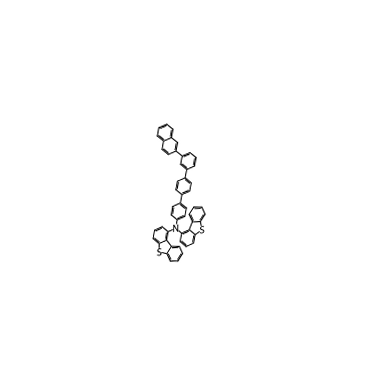 c1cc(-c2ccc(-c3ccc(N(c4cccc5sc6ccccc6c45)c4cccc5sc6ccccc6c45)cc3)cc2)cc(-c2ccc3ccccc3c2)c1